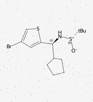 CC(C)(C)[S@+]([O-])N[C@H](c1cc(Br)cs1)C1CCCC1